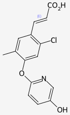 Cc1cc(/C=C/C(=O)O)c(Cl)cc1Oc1ccc(O)cn1